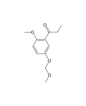 CCC(=O)c1cc(OCOC)ccc1OC